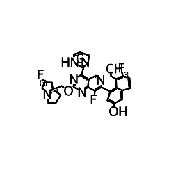 CCc1c(F)ccc2cc(O)cc(-c3ncc4c(N5CC6CCC5CN6)nc(OC[C@@]56CCCN5C[C@H](F)C6)nc4c3F)c12